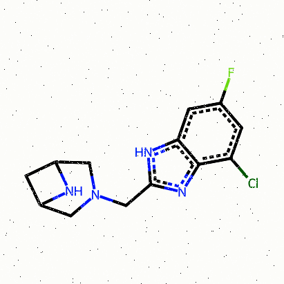 Fc1cc(Cl)c2nc(CN3CC4CC(C3)N4)[nH]c2c1